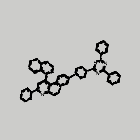 c1ccc(-c2cc(-c3cccc4ccccc34)c3c(ccc4cc(-c5ccc(-c6nc(-c7ccccc7)nc(-c7ccccc7)n6)cc5)ccc43)n2)cc1